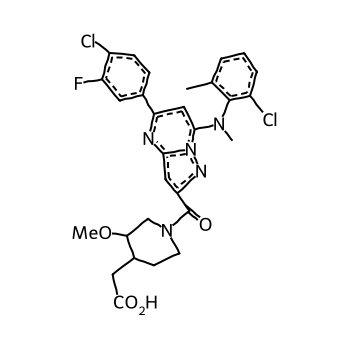 COC1CN(C(=O)c2cc3nc(-c4ccc(Cl)c(F)c4)cc(N(C)c4c(C)cccc4Cl)n3n2)CCC1CC(=O)O